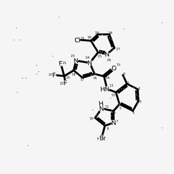 Cc1cccc(-c2nc(Br)c[nH]2)c1NC(=O)c1cc(C(F)(F)F)nn1-c1ncccc1Cl